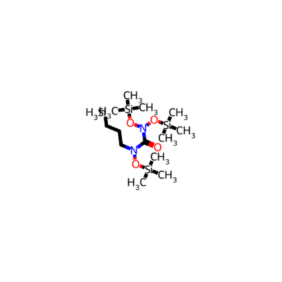 C[Si](C)(C)ON(CCC[SiH3])C(=O)N(O[Si](C)(C)C)O[Si](C)(C)C